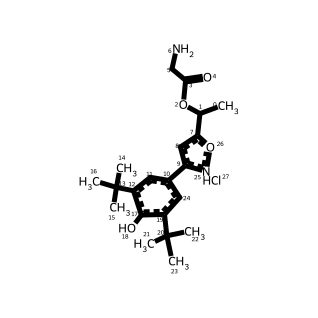 CC(OC(=O)CN)c1cc(-c2cc(C(C)(C)C)c(O)c(C(C)(C)C)c2)no1.Cl